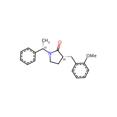 COc1ccccc1C[C@@H]1CCN([C@@H](C)c2ccccc2)C1=O